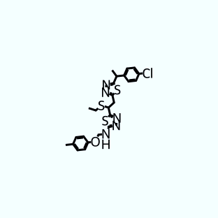 CCSC(Cc1nnc(C(C)c2ccc(Cl)cc2)s1)c1nnc(NCOc2ccc(C)cc2)s1